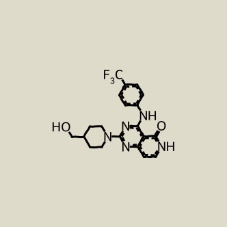 O=c1[nH]ccc2nc(N3CCC(CO)CC3)nc(Nc3ccc(C(F)(F)F)cc3)c12